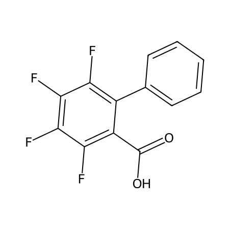 O=C(O)c1c(F)c(F)c(F)c(F)c1-c1ccccc1